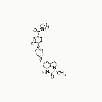 CNC(=O)c1ccc(N2CCN(Cc3cc4c5c(ccn5C(C)C(=O)N4)c3)CC2)c(F)n1